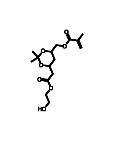 C=C(C)C(=O)OCC1CC(CC(=O)OCCO)OC(C)(C)O1